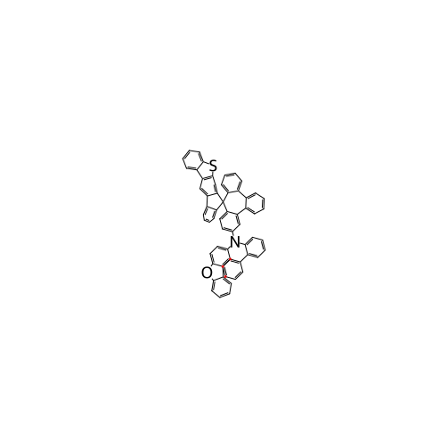 c1ccc(-c2ccccc2N(c2ccc3c(c2)-c2ccccc2-c2ccccc2C32c3ccccc3-c3cc4c(cc32)sc2ccccc24)c2ccc3oc4ccccc4c3c2)cc1